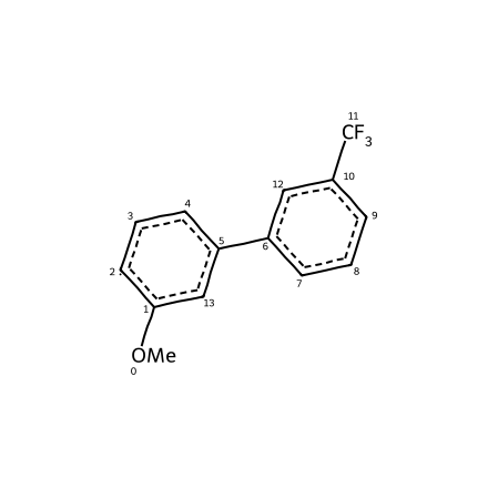 COc1[c]ccc(-c2cccc(C(F)(F)F)c2)c1